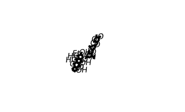 CCC1(O)CC(OC2CC(N(C)C)C(OC3CC4OC5CC(=O)C(C)OC5OC4C(C)O3)C(C)O2)c2c(O)c3c(c(O)c2C1O)C(=O)c1cccc(O)c1C3=O